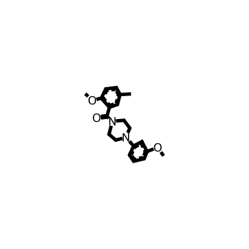 COc1cccc(N2CCN(C(=O)c3cc(C)ccc3OC)CC2)c1